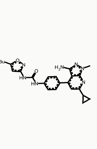 Cn1nc(N)c2c(-c3ccc(NC(=O)Nc4cc(C(C)(C)C)on4)cc3)cc(C3CC3)nc21